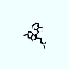 Cc1ccc2c([C@H](C)c3ncccc3I)c(CCN(C)C)sc2c1